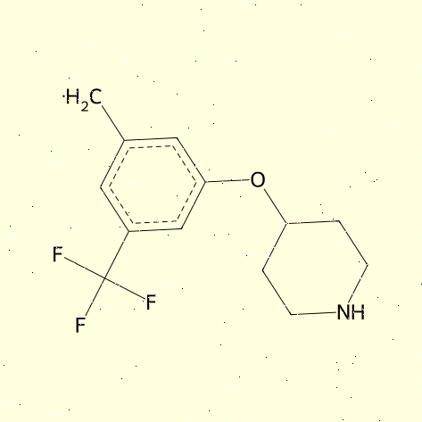 [CH2]c1cc(OC2CCNCC2)cc(C(F)(F)F)c1